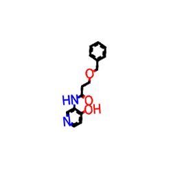 O=C(CCOCc1ccccc1)Nc1cnccc1O